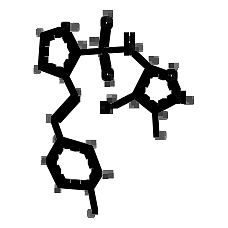 Cc1ccc(/C=C/c2ccsc2S(=O)(=O)Nc2onc(C)c2Br)cc1